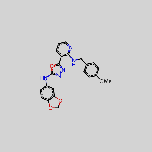 COc1ccc(CNc2ncccc2-c2nnc(Nc3ccc4c(c3)OCO4)o2)cc1